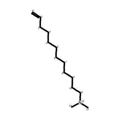 C=CCCCCCCCCCCN(C)C